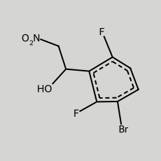 O=[N+]([O-])CC(O)c1c(F)ccc(Br)c1F